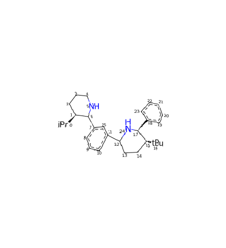 CC(C)[C@H]1CCCNC1c1cccc(C2CC[C@H](C(C)(C)C)[C@H](c3ccccc3)N2)c1